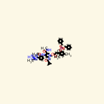 CNC(=O)c1cn(COC(=O)CC(C)(C)c2c(C)cc(C)cc2OP(OCc2ccccc2)OCc2ccccc2)/c(=N/C(=O)C2CC2)cc1Nc1cccc(/C(N)=N/N(C)N)c1OC